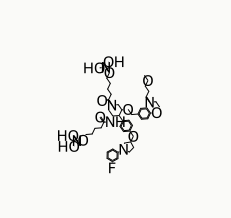 COCCCN1CCOc2ccc(COC3CN(C(=O)CCCCON(O)O)CC(NC(=O)CCCCON(O)O)C3c3ccc(OC4CCN(c5cccc(F)c5)C4)cc3)cc21